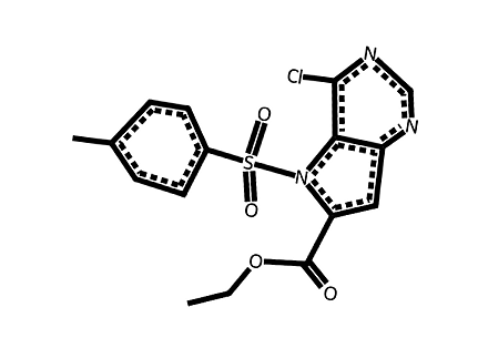 CCOC(=O)c1cc2ncnc(Cl)c2n1S(=O)(=O)c1ccc(C)cc1